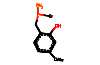 COc1ccc(CP(P)Br)c(O)c1